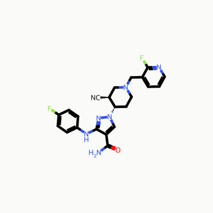 N#C[C@H]1CN(Cc2cccnc2F)CC[C@@H]1n1cc(C(N)=O)c(Nc2ccc(F)cc2)n1